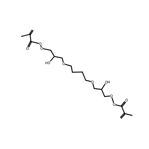 C=C(C)C(=O)OOCC(O)COCCCCOCC(O)COOC(=O)C(=C)C